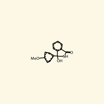 COc1ccc(C2(O)NC(=O)c3ccccc32)cc1